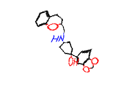 O[C@]1(c2ccc3c(c2)OCO3)CC[C@@H](NCC2CCc3ccccc3O2)CC1